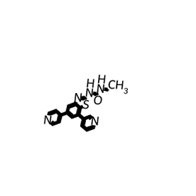 CCNC(=O)Nc1nc2cc(-c3ccncc3)cc(-c3cccnc3)c2s1